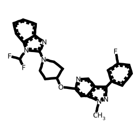 Cn1nc(-c2cccc(F)c2)c2cnc(OC3CCN(c4nc5ccccc5n4C(F)F)CC3)cc21